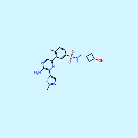 Cc1ncc(-c2nc(-c3cc(S(=O)(=O)NC[C@H]4C[C@H](O)C4)ccc3C)cnc2N)s1